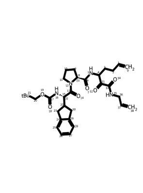 C=CCCC(NC(=O)[C@@H]1CCCN1C(=O)[C@@H](NC(=O)OCC(C)(C)C)C1Cc2ccccc2C1)C(=O)C(=O)NCC=C